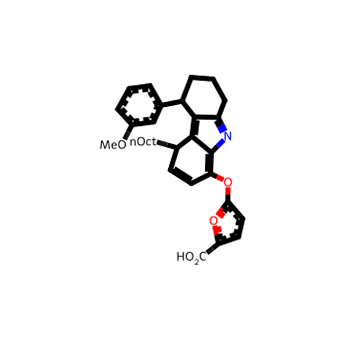 CCCCCCCCC1C=CC(Oc2ccc(C(=O)O)o2)=C2N=C3CCCC(c4cccc(OC)c4)C3=C21